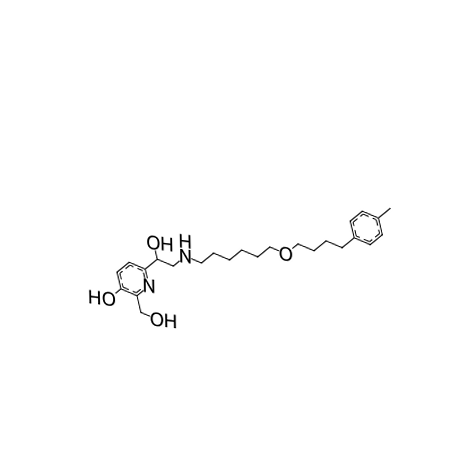 Cc1ccc(CCCCOCCCCCCNCC(O)c2ccc(O)c(CO)n2)cc1